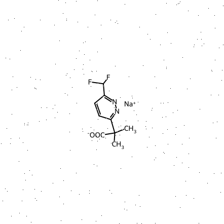 CC(C)(C(=O)[O-])c1ccc(C(F)F)nn1.[Na+]